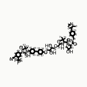 Cc1ncsc1-c1ccc(CNC(=O)[C@@H]2C[C@@H](O)CN2C(=O)[C@@H](NC(=O)COC[C@H](O)[C@@H](O)COc2ccc(-c3ccc(N4C(S)N(c5ccc(C#N)c(C(F)(F)F)c5)C(=O)C4(C)C)cc3)cc2)C(C)(C)C)cc1